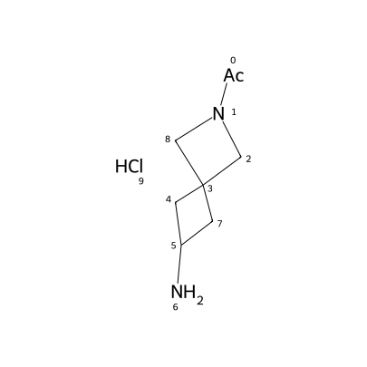 CC(=O)N1CC2(CC(N)C2)C1.Cl